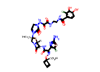 Nc1nc(/C(=N/OC2(C(=O)O)CCC2)C(=O)N[C@@H]2C(=O)N3C[C@@](C(=O)O)(N4CCN(NC(=O)C(=O)NCCNC(=O)c5ccc(O)c(O)c5Cl)C4=O)S[C@H]23)c(Cl)s1